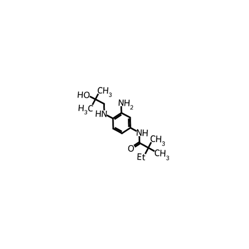 CCC(C)(C)C(=O)Nc1ccc(NCC(C)(C)O)c(N)c1